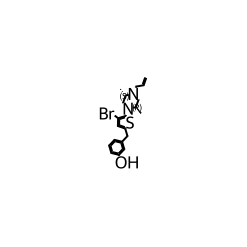 C=CCN1C[C@@H](C)N(c2sc(Cc3cccc(O)c3)cc2Br)C[C@@H]1C